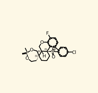 C=P1(C)OCC[C@]2(CCC[C@@]3(S(=O)(=O)c4ccc(Cl)cc4)c4c(F)ccc(F)c4OC[C@@H]23)CO1